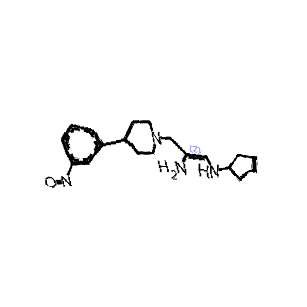 N/C(=C\NC1CCCC1)CN1CCC(c2cccc(N=O)c2)CC1